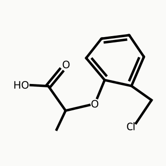 CC(Oc1ccccc1CCl)C(=O)O